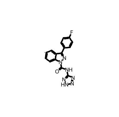 O=C(Nc1nn[nH]n1)n1nc(-c2ccc(F)cc2)c2c[c]ccc21